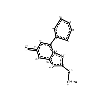 CCCCCCSc1nn2c(-c3ccccc3)cc(=O)nc2s1